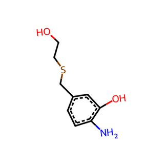 Nc1ccc(CSCCO)cc1O